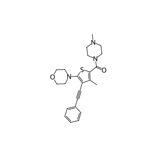 Cc1c(C(=O)N2CCN(C)CC2)sc(N2CCOCC2)c1C#Cc1ccccc1